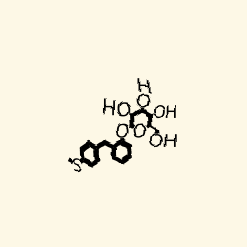 CSc1ccc(Cc2ccccc2O[C@@H]2O[C@H](CO)[C@@H](O)[C@H](O)[C@H]2O)cc1